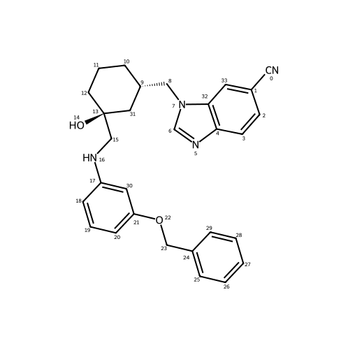 N#Cc1ccc2ncn(C[C@H]3CCC[C@@](O)(CNc4cccc(OCc5ccccc5)c4)C3)c2c1